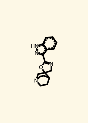 c1ccc2c(C3=NCC4(CN5CCC4CC5)O3)n[nH]c2c1